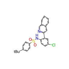 CC(C)(C)c1ccc(S(=O)(=O)Nc2ccc(Cl)cc2-c2cc3ccccc3cn2)cc1